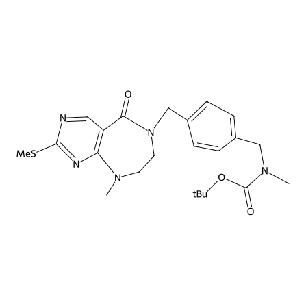 CSc1ncc2c(n1)N(C)CCN(Cc1ccc(CN(C)C(=O)OC(C)(C)C)cc1)C2=O